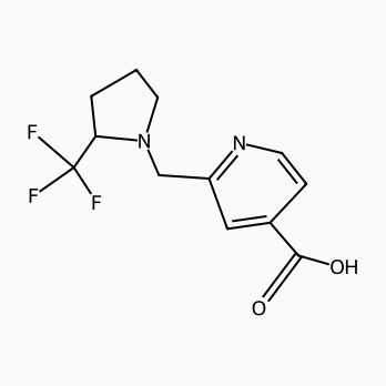 O=C(O)c1ccnc(CN2CCCC2C(F)(F)F)c1